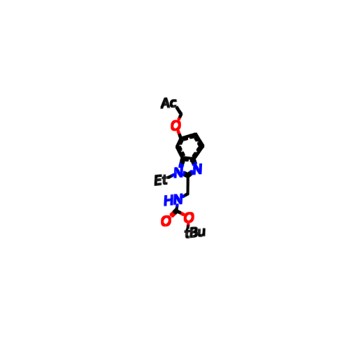 CCn1c(CNC(=O)OC(C)(C)C)nc2ccc(OCC(C)=O)cc21